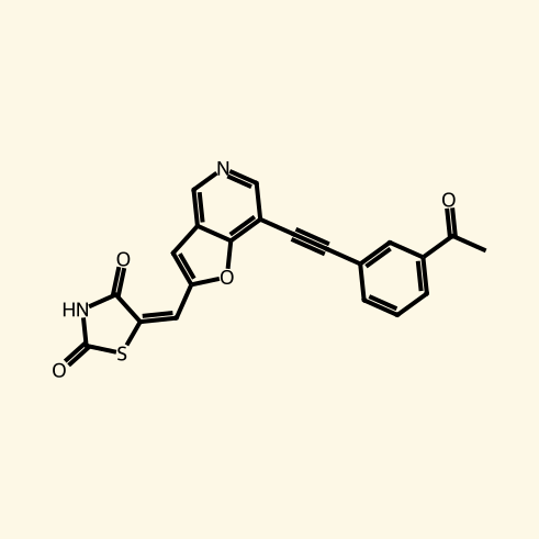 CC(=O)c1cccc(C#Cc2cncc3cc(C=C4SC(=O)NC4=O)oc23)c1